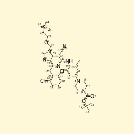 Cc1cc(N2CCN(C(=O)OC(C)(C)C)CC2)ccc1Nc1nc(Cc2c(Cl)cccc2Cl)c2ncn(COCC[Si](C)(C)C)c2c1C#N